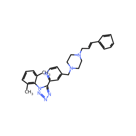 Cc1cccc(C)c1-n1nnnc1-c1cc(CN2CCN(CC=Cc3ccccc3)CC2)ccn1